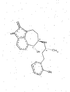 C[C@H](CCc1ccccc1O)N[C@@H]1CCn2c(=O)[nH]c3cccc(c32)[C@H]1O